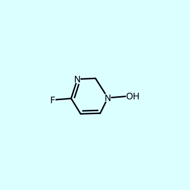 ON1C=CC(F)=NC1